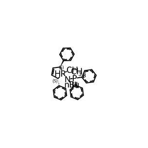 CCCCN([PH](C)(c1ccccc1)c1ccccc1)[PH]1(C)[C@H](c2ccccc2)C=C[C@H]1c1ccccc1